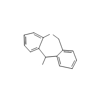 CCC1c2ccccc2CSc2ccccc21